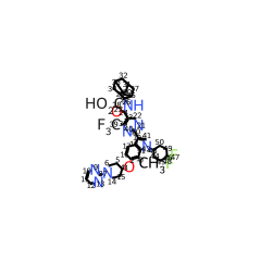 Cc1c(OC2CCN(c3ncccn3)CC2)ccc2c(-c3ncc(C(=O)NC4(C(=O)O)C5CC6CC(C5)CC4C6)c(C(F)(F)F)n3)cn(C3CCC(F)(F)CC3)c12